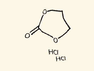 Cl.Cl.O=C1OCCO1